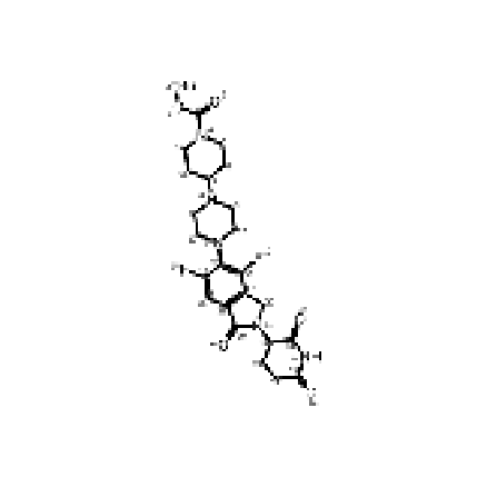 CC(C)(C)OC(=O)N1CCC(N2CCN(c3c(F)cc4c(c3F)CN(C3CCC(=O)NC3=O)C4=O)CC2)CC1